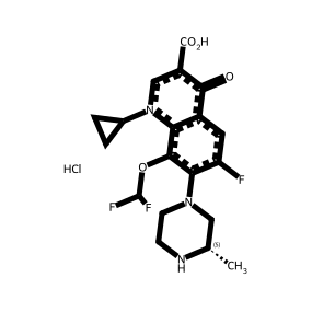 C[C@H]1CN(c2c(F)cc3c(=O)c(C(=O)O)cn(C4CC4)c3c2OC(F)F)CCN1.Cl